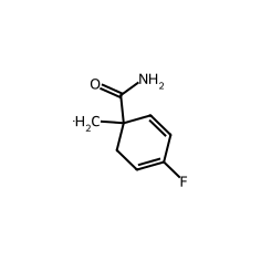 [CH2]C1(C(N)=O)C=CC(F)=CC1